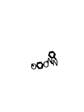 COc1ccc(OCN2CN=Cc3ccccc32)cc1